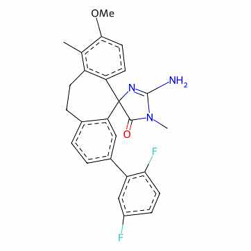 COc1ccc2c(c1C)CCc1ccc(-c3cc(F)ccc3F)cc1C21N=C(N)N(C)C1=O